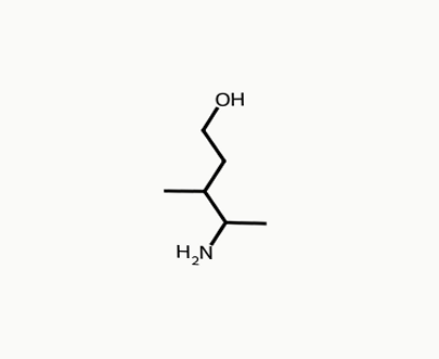 CC(N)C(C)CCO